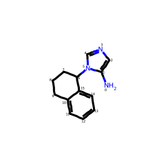 Nc1cncn1C1CCCc2ccccc21